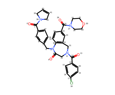 O=C(c1ccc(CN2C(=O)CN(C(=O)c3ccc(Cl)cc3)Cc3cc(C(=O)N4CCOCC4)ccc32)cc1)N1CC=CC1